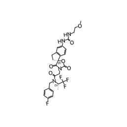 COCCNC(=O)Nc1ccc2c(c1)CC[C@@]21OC(=O)N(CC(=O)N(Cc2ccc(F)cc2)[C@@H](C)C(F)(F)F)C1=O